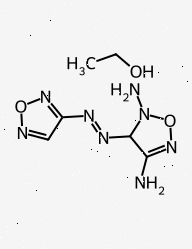 CCO.NC1=NON(N)C1N=Nc1cnon1